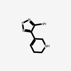 CCCc1nsnc1C1=CCCNC1